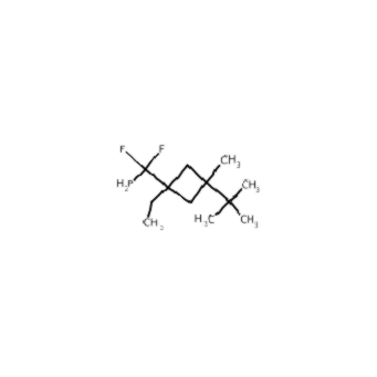 CCC1(C(F)(F)P)CC(C)(C(C)(C)C)C1